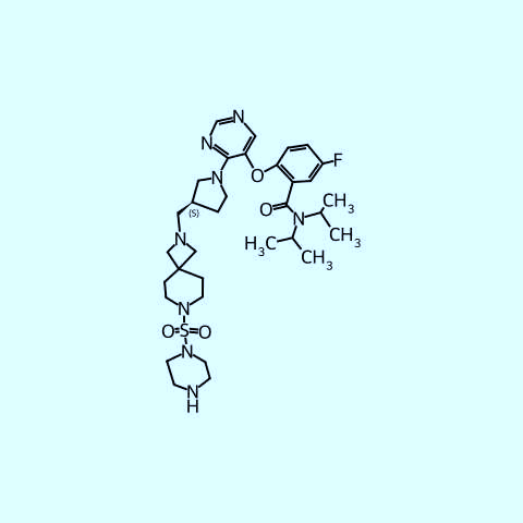 CC(C)N(C(=O)c1cc(F)ccc1Oc1cncnc1N1CC[C@@H](CN2CC3(CCN(S(=O)(=O)N4CCNCC4)CC3)C2)C1)C(C)C